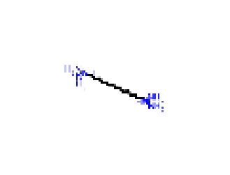 NC(N)NCCCCCCCCCCCCCCCCNC(N)N